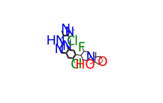 Cn1ncc(Nc2ncc3cc(Cl)c(C4CCN(C5(C)COC[C@H]5O)CC4F)cc3n2)c1Cl